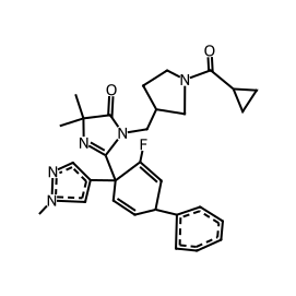 Cn1cc(C2(C3=NC(C)(C)C(=O)N3CC3CCN(C(=O)C4CC4)C3)C=CC(c3ccccc3)C=C2F)cn1